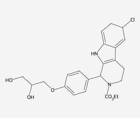 CCOC(=O)N1CCc2c([nH]c3c2=CC(Cl)CC=3)C1c1ccc(OCC(O)CO)cc1